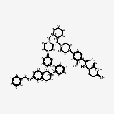 O=C1CCC(NC(=O)c2ccc(N3CCN(C[C@@H]4CCCC[C@H]4CN4CCN(c5ccc([C@@H]6c7ccc(OCc8ccccc8)cc7CC[C@@H]6c6ccccc6)cc5)CC4)CC3)cc2F)C(=O)N1